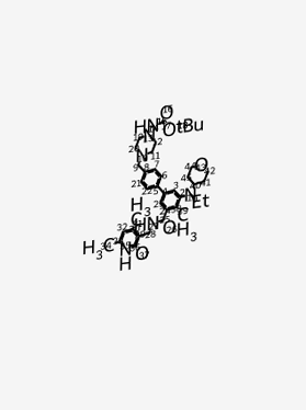 CCN(c1cc(-c2ccc(CN3CCN(NC(=O)OC(C)(C)C)CC3)cc2)cc(C(=O)NCc2c(C)cc(C)[nH]c2=O)c1C)C1CCOCC1